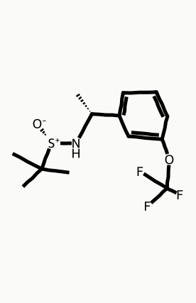 C[C@@H](N[S@@+]([O-])C(C)(C)C)c1cccc(OC(F)(F)F)c1